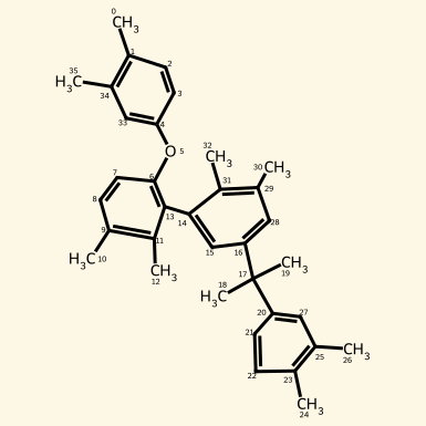 Cc1ccc(Oc2ccc(C)c(C)c2-c2cc(C(C)(C)c3ccc(C)c(C)c3)cc(C)c2C)cc1C